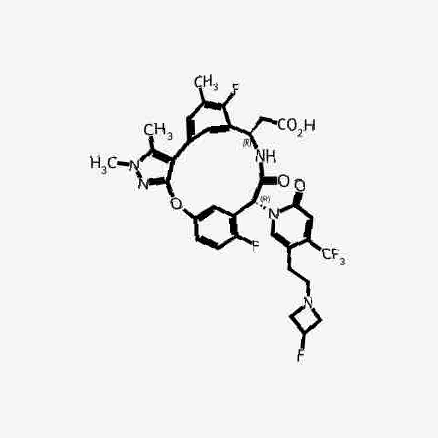 Cc1cc2cc(c1F)[C@@H](CC(=O)O)NC(=O)[C@H](n1cc(CCN3CC(F)C3)c(C(F)(F)F)cc1=O)c1cc(ccc1F)Oc1nn(C)c(C)c1-2